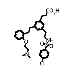 CN(C)CCOc1ccccc1CCc1cc(CCNS(=O)(=O)c2ccc(Cl)cc2)cc(CCC(=O)O)c1